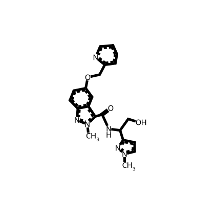 Cn1ccc(C(CO)NC(=O)c2c3cc(OCc4ccccn4)ccc3nn2C)n1